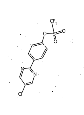 O=S(=O)(Oc1ccc(-c2ncc(Cl)cn2)cc1)C(F)(F)F